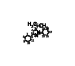 C=C(C)c1cc(-c2ccccc2)nn1-c1ccccc1